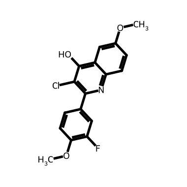 COc1ccc2nc(-c3ccc(OC)c(F)c3)c(Cl)c(O)c2c1